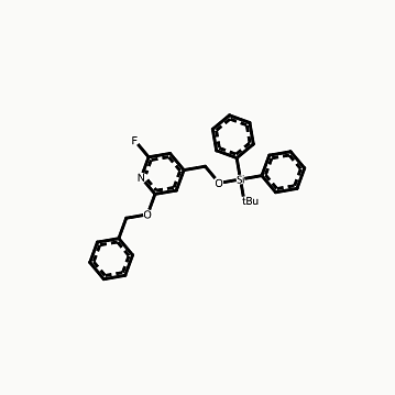 CC(C)(C)[Si](OCc1cc(F)nc(OCc2ccccc2)c1)(c1ccccc1)c1ccccc1